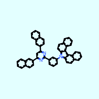 c1cc(-c2nc(-c3ccc4ccccc4c3)cc(-c3ccc4ccccc4c3)n2)cc(-n2c3ccc4ccccc4c3c3c4ccccc4ccc32)c1